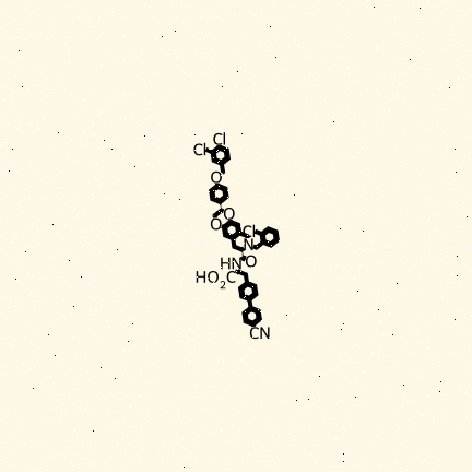 N#Cc1ccc(-c2ccc(CC(NC(=O)[C@@H]3Cc4cc5c(cc4CN3Cc3ccccc3Cl)O[C@@H](c3ccc(OCc4ccc(Cl)c(Cl)c4)cc3)CO5)C(=O)O)cc2)cc1